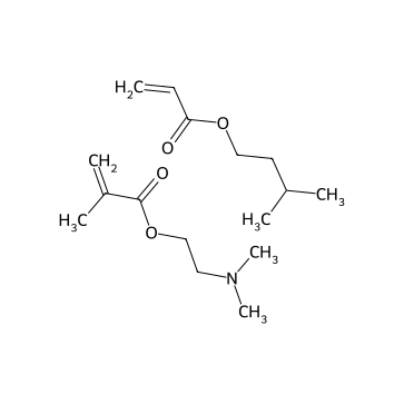 C=C(C)C(=O)OCCN(C)C.C=CC(=O)OCCC(C)C